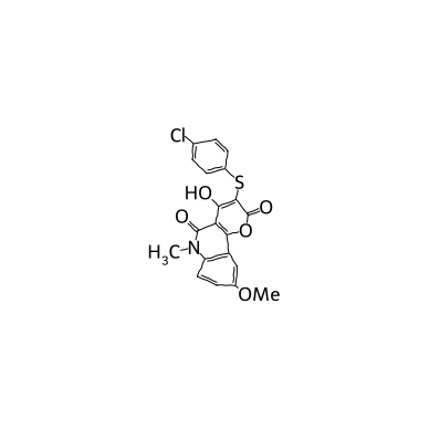 COc1ccc2c(c1)c1oc(=O)c(Sc3ccc(Cl)cc3)c(O)c1c(=O)n2C